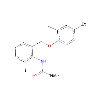 CCc1ccc(OCc2cccc(C)c2NC(=O)NC)c(C)c1